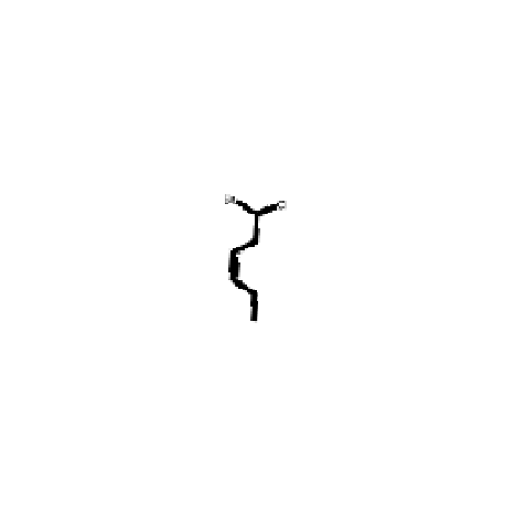 CC/C=C\CC(Cl)Br